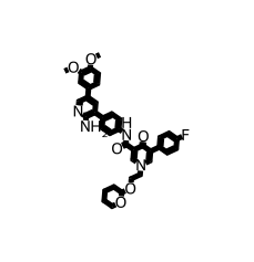 COc1ccc(-c2cnc(N)c(-c3ccc(NC(=O)c4cn(CCOC5CCCCO5)cc(-c5ccc(F)cc5)c4=O)cc3)c2)cc1OC